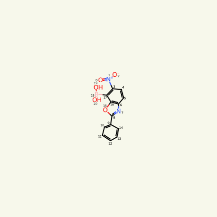 O=[N+]([O-])c1ccc2nc(-c3ccccc3)oc2c1B(O)O